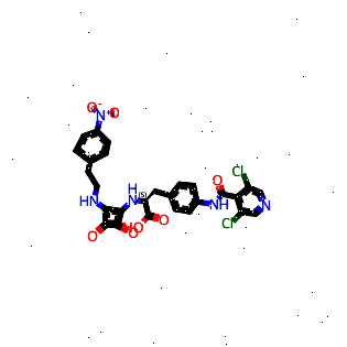 O=C(Nc1ccc(C[C@H](Nc2c(NCCc3ccc([N+](=O)[O-])cc3)c(=O)c2=O)C(=O)O)cc1)c1c(Cl)cncc1Cl